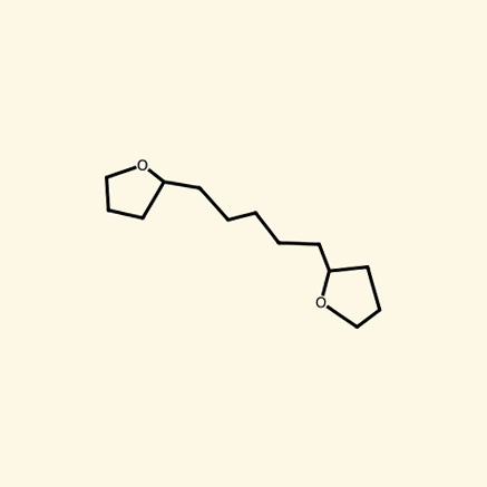 C(CCC1CCCO1)CCC1CCCO1